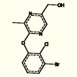 Cc1nc(CO)cnc1Oc1cccc(Br)c1Cl